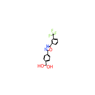 OC(O)c1ccc(-c2nnc(-c3cccc(C(F)(F)F)c3)o2)cc1